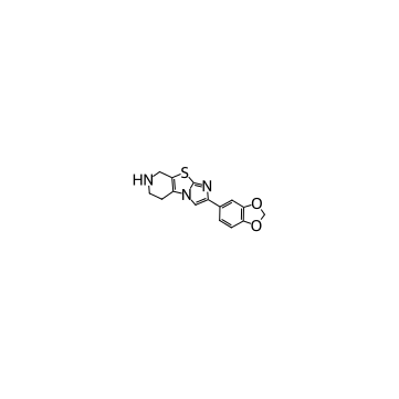 c1cc2c(cc1-c1cn3c4c(sc3n1)CNCC4)OCO2